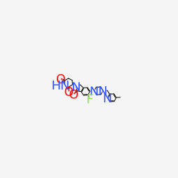 Cc1ccnc(CN2CCN(c3cc4c(cc3F)C(=O)N(C3CCC(=O)NC3=O)C4)CC2)c1